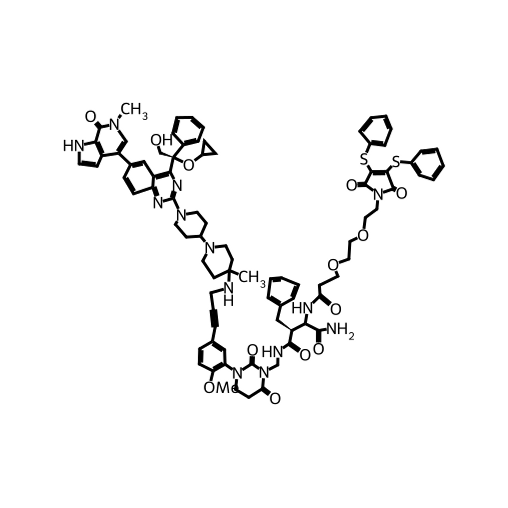 COc1ccc(C#CCNC2(C)CCN(C3CCN(c4nc([C@@](CO)(OC5CC5)c5ccccc5)c5cc(-c6cn(C)c(=O)c7[nH]ccc67)ccc5n4)CC3)CC2)cc1N1CCC(=O)N(CNC(=O)[C@@H](Cc2ccccc2)C(NC(=O)CCOCCOCCN2C(=O)C(Sc3ccccc3)=C(Sc3ccccc3)C2=O)C(N)=O)C1=O